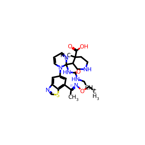 CCNC(=O)NC1(C2CNCCC2(C)C(=O)O)N=CC=CN1c1cc(/C(C)=N/OCC)c2scnc2c1